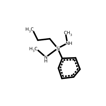 CCC[Si](NC)(NC)c1ccccc1